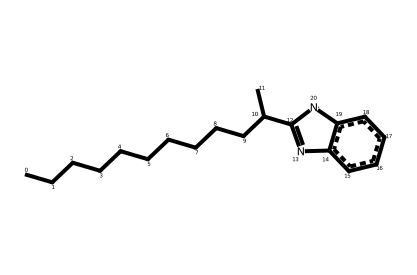 CCCCCCCCCCC(C)C1=Nc2ccccc2[N]1